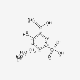 O.O.O.O=C(O)c1cc(S(=O)(=O)O)ccc1O.[Na].[Na]